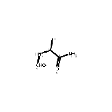 CC(N[C]=O)C(N)=O